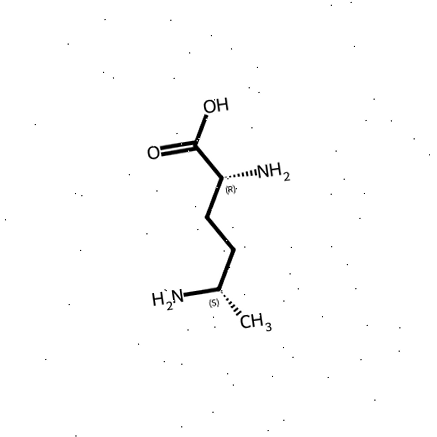 C[C@H](N)CC[C@@H](N)C(=O)O